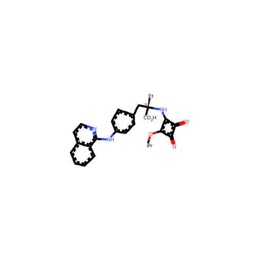 CC[C@@](Cc1ccc(Nc2nccc3ccccc23)cc1)(Nc1c(OC(C)C)c(=O)c1=O)C(=O)O